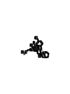 CCNC(=O)Nc1cc(Cl)ccc1/C=C/C(=O)N1C2CCC1CN(Cc1ccc(F)cc1)C2